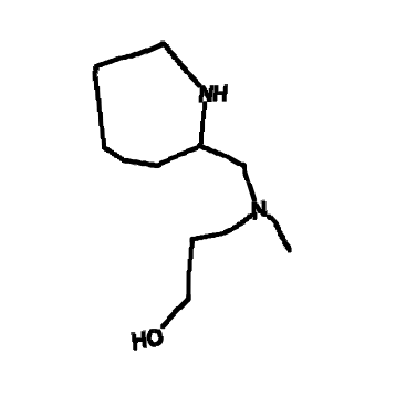 CN(CCO)CC1CCCCN1